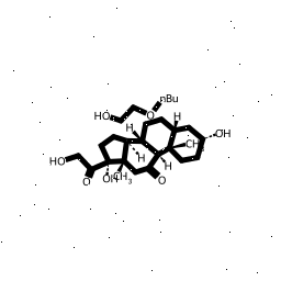 CCCCOCCO.C[C@]12CC[C@@H](O)C[C@H]1CC[C@@H]1[C@@H]2C(=O)C[C@@]2(C)[C@H]1CC[C@]2(O)C(=O)CO